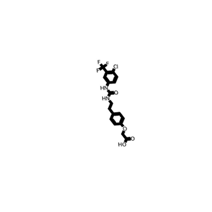 O=C(O)COc1ccc(CCNC(=O)Nc2ccc(Cl)c(C(F)(F)F)c2)cc1